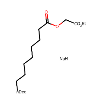 CCCCCCCCCCCCCCCCCC(=O)OCC(=O)OCC.[NaH]